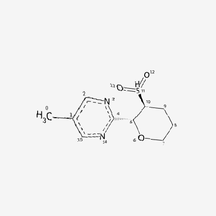 Cc1cnc([C@H]2OCCC[C@@H]2[SH](=O)=O)nc1